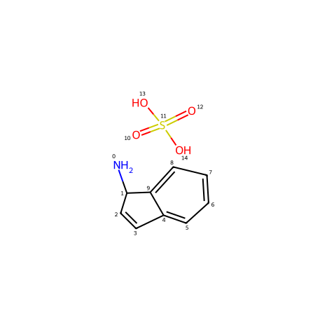 NC1C=Cc2ccccc21.O=S(=O)(O)O